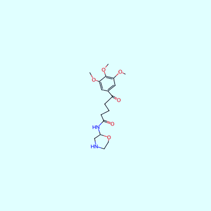 COc1cc(C(=O)CCCC(=O)NC2CNCCO2)cc(OC)c1OC